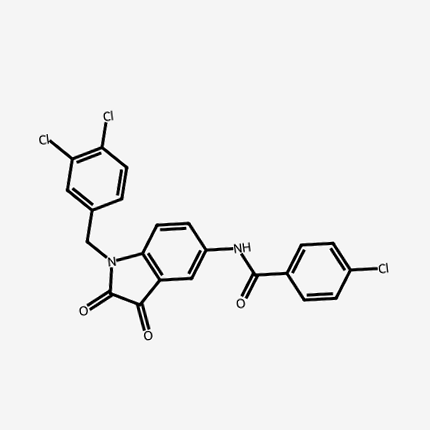 O=C(Nc1ccc2c(c1)C(=O)C(=O)N2Cc1ccc(Cl)c(Cl)c1)c1ccc(Cl)cc1